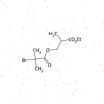 CCOC(=O)C(C)COC(=O)C(C)(C)Br